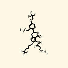 CCc1cc(OCC(F)(F)F)ccc1C1Cc2nn(CCCCC(F)(F)F)c(NC(=O)CSC)c2C(=O)N1